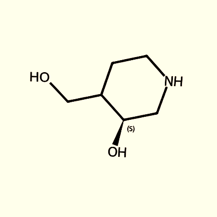 OCC1CCNC[C@H]1O